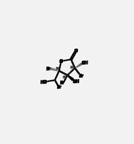 O=C1O[C@](Br)(C(O)Br)[C@@](O)(Br)[C@]1(O)Br